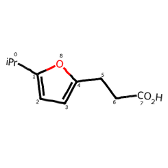 CC(C)c1ccc(CCC(=O)O)o1